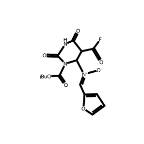 CC(C)COC(=O)N1C(=O)NC(=O)C(C(=O)F)C1[N+]([O-])=Cc1ccco1